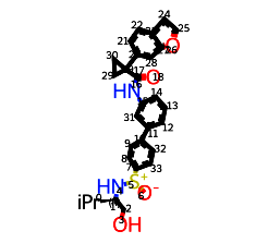 CC(C)[C@H](CO)N[S+]([O-])c1ccc(-c2cccc(NC(=O)C3(c4ccc5ccoc5c4)CC3)c2)cc1